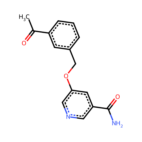 CC(=O)c1cccc(COc2cncc(C(N)=O)c2)c1